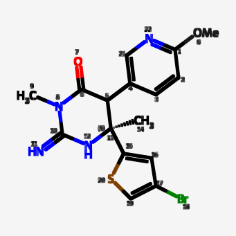 COc1ccc(C2C(=O)N(C)C(=N)N[C@]2(C)c2cc(Br)cs2)cn1